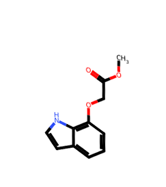 COC(=O)COc1cccc2cc[nH]c12